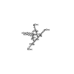 CCCCCCCCCCCCCCCCNC(=O)CCN(CCNCCN(CCC(=O)NCCCCCCCCCCCCCCCC)CCN(CCC(=O)NCCCCCCCCCCCCCCCC)CCC(=O)NCCCCCCCCCCCCCCCC)CCC(=O)NCCCCCCCCCCCCCCCC